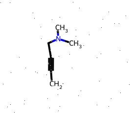 [CH2]C#CCN(C)C